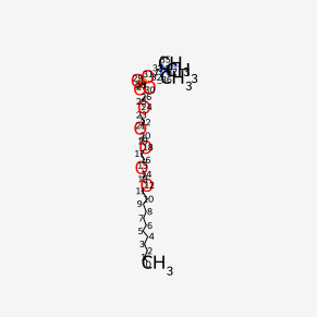 CCCCCCCCCCCCOCCOCCOCCOCCOCCOP(=O)([O-])OCC[N+](C)(C)C